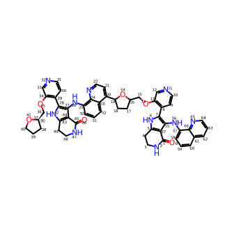 O=C1NCCc2[nH]c(-c3ccncc3OCC3CCC(c4ccnc5c(Nc6c(-c7ccncc7OC[C@H]7CCCO7)[nH]c7c6C(=O)NCC7)cccc45)O3)c(Nc3cccc4cccnc34)c21